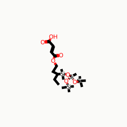 CCC(CCOC(=O)C=CC(=O)O)[Si](C)(C)O[Si](C)(O[Si](C)(C)C)O[Si](C)(C)C